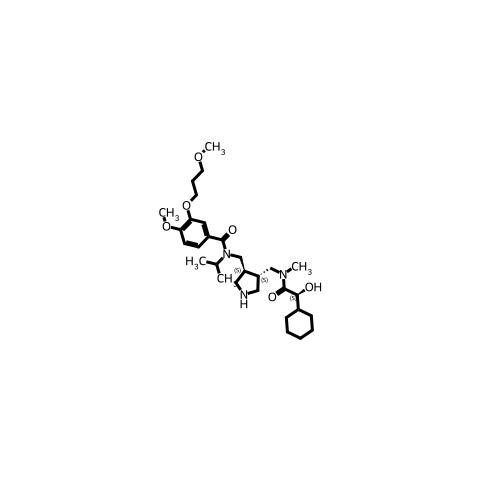 COCCCOc1cc(C(=O)N(C[C@@H]2CNC[C@H]2CN(C)C(=O)[C@@H](O)C2CCCCC2)C(C)C)ccc1OC